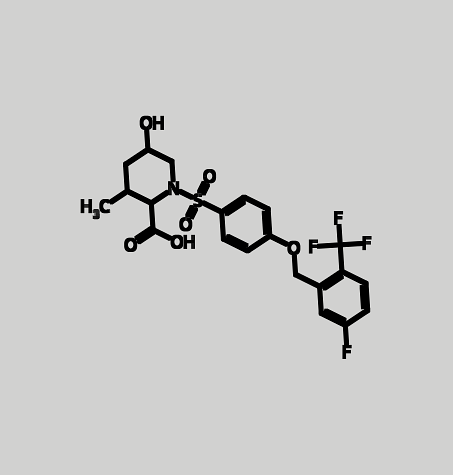 CC1CC(O)CN(S(=O)(=O)c2ccc(OCc3cc(F)ccc3C(F)(F)F)cc2)C1C(=O)O